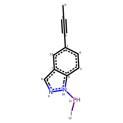 CC#Cc1ccc2c(cnn2PI)c1